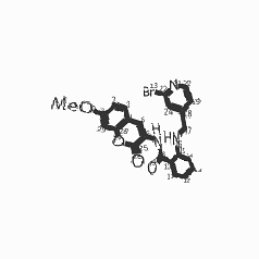 COc1ccc2cc(NC(=O)c3ccccc3NCc3ccnc(Br)c3)c(=O)oc2c1